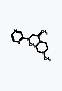 C=C(CN(C)c1cnccn1)N1CCN(C)CC1